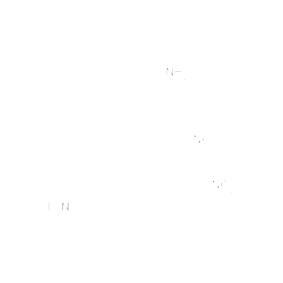 Nc1ccc(-c2ccc(N)cc2-c2ccc([N+](=O)[O-])c([N+](=O)[O-])c2)cc1